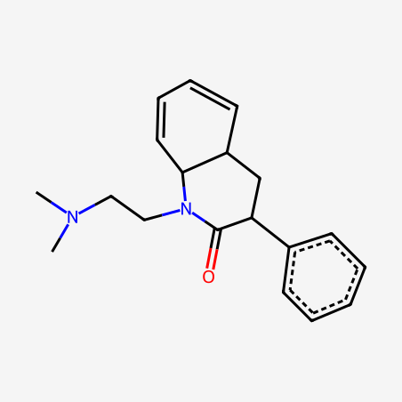 CN(C)CCN1C(=O)C(c2ccccc2)CC2C=CC=CC21